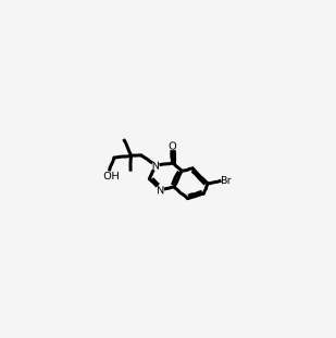 CC(C)(CO)Cn1cnc2ccc(Br)cc2c1=O